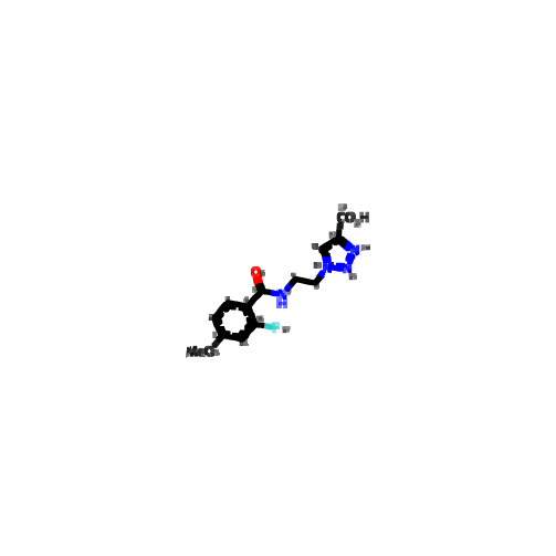 COc1ccc(C(=O)NCCn2cc(C(=O)O)nn2)c(F)c1